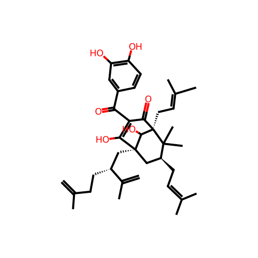 C=C(C)CC[C@H](C[C@]12C[C@H](CC=C(C)C)C(C)(C)[C@](CC=C(C)C)(C(=O)C(C(=O)c3ccc(O)c(O)c3)=C1O)C2O)C(=C)C